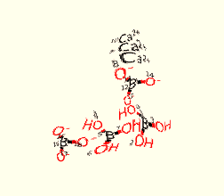 OB(O)O.OB(O)O.[Ca+2].[Ca+2].[Ca+2].[O-]B([O-])[O-].[O-]B([O-])[O-]